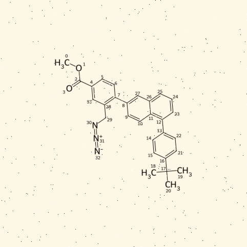 COC(=O)c1ccc(-c2ccc3c(-c4ccc(C(C)(C)C)cc4)cccc3c2)c(CN=[N+]=[N-])c1